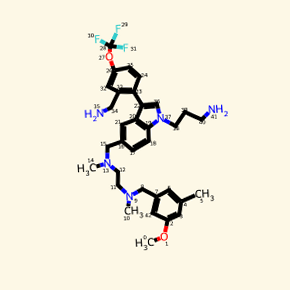 COc1cc(C)cc(CN(C)CCN(C)Cc2ccc3c(c2)c(-c2ccc(OC(F)(F)F)cc2CN)cn3CCCN)c1